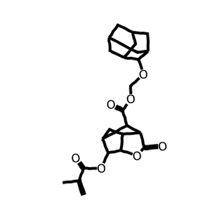 C=C(C)C(=O)OC1C2CC3C1OC(=O)C3C2C(=O)OCOC1C2CC3CC(C2)CC1C3